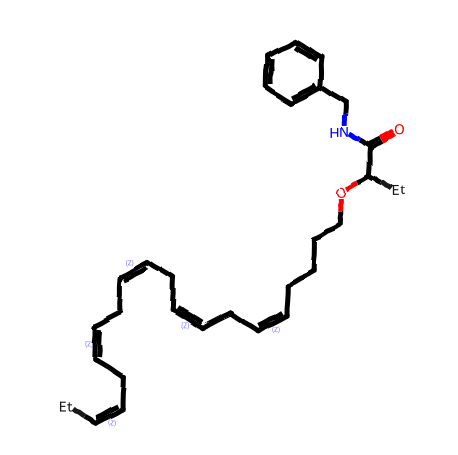 CC/C=C\C/C=C\C/C=C\C/C=C\C/C=C\CCCCOC(CC)C(=O)NCc1ccccc1